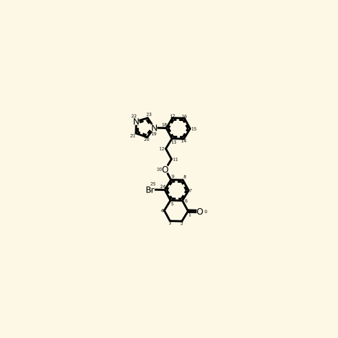 O=C1CCCc2c1ccc(OCCc1ccccc1-n1ccnc1)c2Br